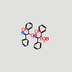 O.ON=C(c1ccccc1)C(O)c1ccccc1.ON=C(c1ccccc1)C(O)c1ccccc1